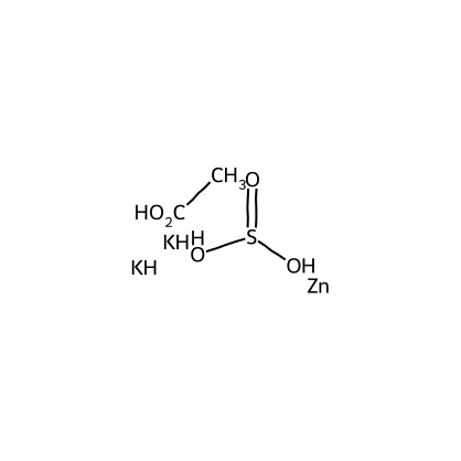 CC(=O)O.O=S(O)O.[KH].[KH].[Zn]